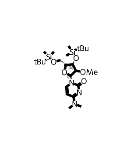 COC1[C@@H](O[Si](C)(C)C(C)(C)C)[C@@H](CO[Si](C)(C)C(C)(C)C)O[C@H]1n1ccc(N(C)C)nc1=O